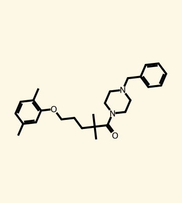 Cc1ccc(C)c(OCCCC(C)(C)C(=O)N2CCN(Cc3ccccc3)CC2)c1